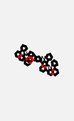 c1ccc(-c2ccccc2N(c2ccccc2-c2ccccc2)c2ccc3c4cc5c(cc4n4c6ccccc6c2c34)c2ccc(N(c3ccccc3-c3ccccc3)c3ccccc3-c3ccccc3)c3c4ccccc4n5c23)cc1